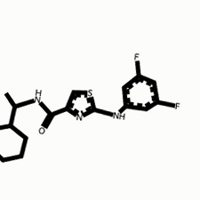 CC(NC(=O)c1csc(Nc2cc(F)cc(F)c2)n1)C1CCCCC1